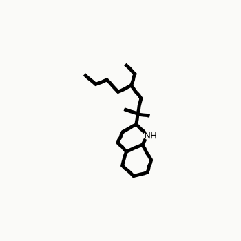 CCCCC(CC)CC(C)(C)C1CCC2CCCCC2N1